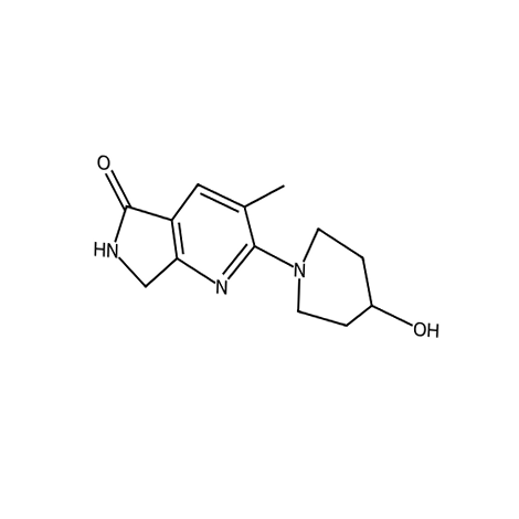 Cc1cc2c(nc1N1CCC(O)CC1)CNC2=O